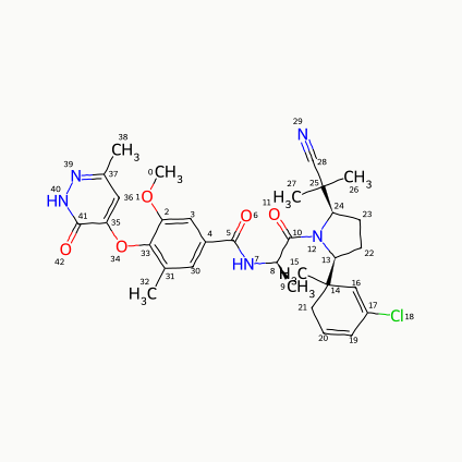 COc1cc(C(=O)N[C@H](C)C(=O)N2[C@H](C3(C)C=C(Cl)C=CC3)CC[C@@H]2C(C)(C)C#N)cc(C)c1Oc1cc(C)n[nH]c1=O